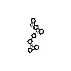 c1cc(-c2ccc(-n3c4ccccc4c4cc5c(cc43)oc3ccccc35)cc2)cc(-n2c3ccccc3c3ccccc32)c1